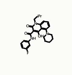 CC(C)Cn1c(=O)c(C(=O)Nc2cccc(F)c2)c(O)c2c(N3CCCCC3)cccc21